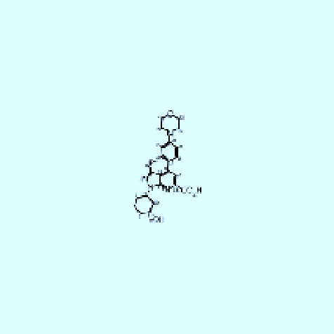 CC(C)c1nn([C@@H]2CCC[C@@H](O)C2)c2nc(C(=O)O)cc(-c3ccc(N4CCOCC4)cc3)c12